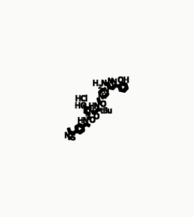 Cc1ncsc1-c1ccc(C(C)NC(=O)[C@@H]2C[C@@H](O)CN2C(=O)C(NC(=O)CN2CCN(c3cc(-c4ccccc4O)nnc3N)CC2)C(C)(C)C)cc1.Cl